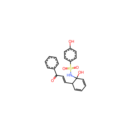 O=C(C=CC1C=CC=CC1(O)NS(=O)(=O)c1ccc(O)cc1)c1ccccc1